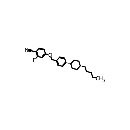 CCCCC[C@H]1CC[C@H](c2ccc(COc3ccc(C#N)c(F)c3)cc2)CC1